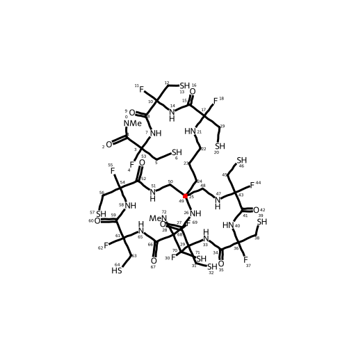 CNC(=O)C(F)(CS)NC(=O)C(F)(CS)NC(=O)C(F)(CS)NCCCCNC(=O)C(F)(CS)NC(=O)C(F)(CS)NC(=O)C(F)(CS)NCCCNC(=O)C(F)(CS)NC(=O)C(F)(CS)NC(=O)C(F)(CS)NC